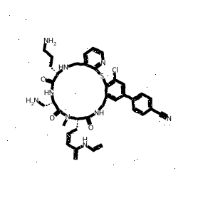 C=CNC(=C)/C=C\C[C@H]1C(=O)NCc2cc(-c3ccc(C#N)cc3)cc(Cl)c2Sc2ncccc2CN[C@@H](CCCN)C(=O)N[C@@H](CN)C(=O)N1C